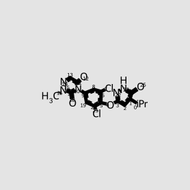 CC(C)c1cc(Oc2c(Cl)cc(-n3c(=O)cnn(C)c3=O)cc2Cl)n[nH]c1=O